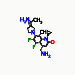 Cc1c(N2CC[C@@H]([C@H](C)N)C2)c(F)c(F)c2c(CN)cc(=O)n(C3CC3)c12